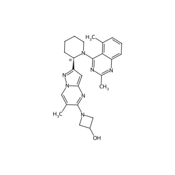 Cc1nc(N2CCCC[C@@H]2c2cc3nc(N4CC(O)C4)c(C)cn3n2)c2c(C)cccc2n1